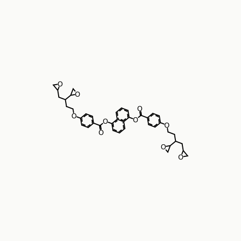 O=C(Oc1cccc2c(OC(=O)c3ccc(OCCC(CC4CO4)C4CO4)cc3)cccc12)c1ccc(OCCC(CC2CO2)C2CO2)cc1